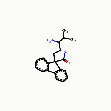 CC(C)C(N)CCC1(C(N)=O)c2ccccc2-c2ccccc21